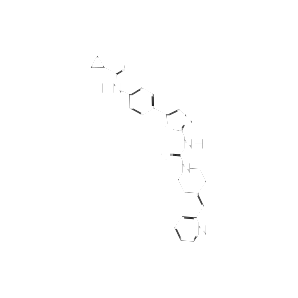 O=C(Nc1ccc(-c2cnc(NC(=O)N3CCC(=Cc4ccccn4)CC3)s2)cc1)C1CC1